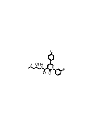 CN(C)C[C@H](O)CNC(=O)c1cc(-c2ccc(Cl)cc2)nn(-c2cccc(F)c2)c1=O